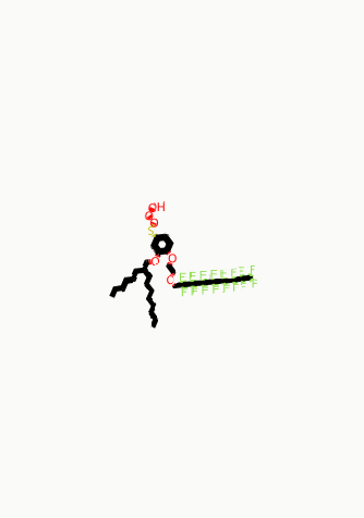 CCCCCCCCC(CCCCCC)COc1cc(SOOO)ccc1OCCOCC(F)(F)C(F)(F)C(F)(F)C(F)(F)C(F)(F)C(F)(F)C(F)(F)C(F)F